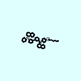 C=CCCCCOc1ccc(N(c2cccc(-c3cccc(N(c4ccccc4)c4cccc5ccccc45)c3)c2)c2cccc3ccccc23)cc1